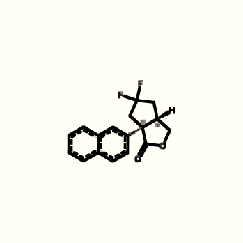 O=C1OC[C@H]2CC(F)(F)C[C@]12c1ccc2ccccc2c1